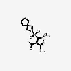 Cc1nn(C)c(S(=O)(=O)N2CC3(CCCC3)C2)c1C(F)F